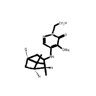 COc1c(NC2C[C@@H]3C[C@H]([C@H]2C)C3(C)C)cnn(CC(=O)O)c1=O